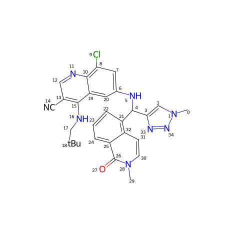 Cn1cc(C(Nc2cc(Cl)c3ncc(C#N)c(NCC(C)(C)C)c3c2)c2cccc3c(=O)n(C)ccc23)nn1